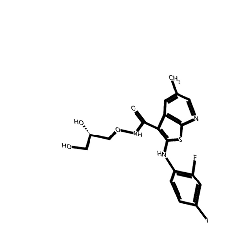 Cc1cnc2sc(Nc3ccc(I)cc3F)c(C(=O)NOC[C@@H](O)CO)c2c1